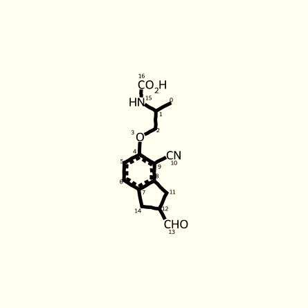 CC(COc1ccc2c(c1C#N)CC(C=O)C2)NC(=O)O